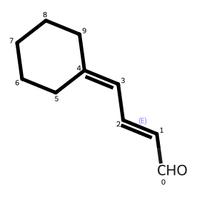 O=C/C=C/C=C1CCCCC1